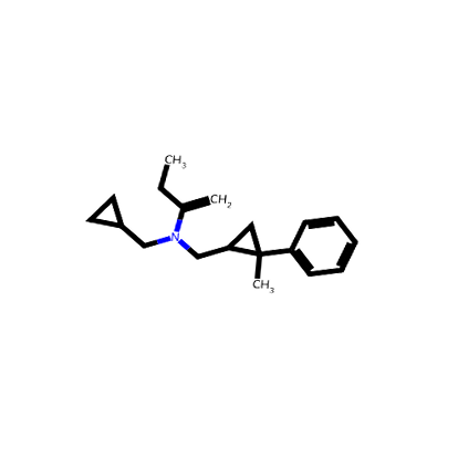 C=C(CC)N(CC1CC1)CC1CC1(C)c1ccccc1